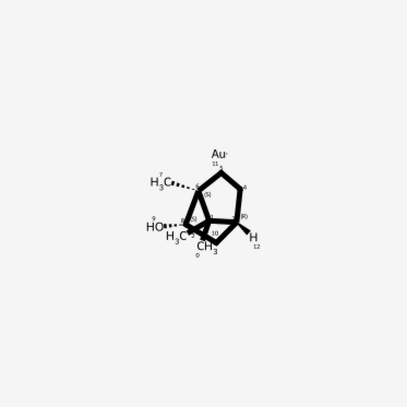 CC1(C)[C@@H]2CC[C@]1(C)[C@@H](O)C2.[Au]